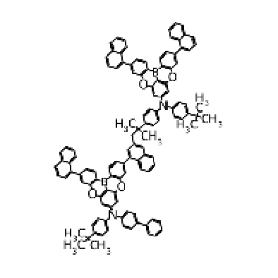 CC(C)(C)c1ccc(N(c2ccc(C(C)(C)Cc3cc(-c4ccc5c(c4)Oc4cc(N(c6ccc(-c7ccccc7)cc6)c6ccc(C(C)(C)C)cc6)cc6c4B5c4ccc(-c5cccc7ccccc57)cc4O6)c4ccccc4c3)cc2)c2cc3c4c(c2)Oc2cc(-c5cccc6ccccc56)ccc2B4c2ccc(-c4cccc5ccccc45)cc2O3)cc1